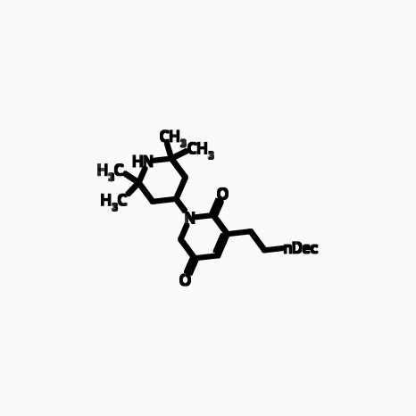 CCCCCCCCCCCCC1=CC(=O)CN(C2CC(C)(C)NC(C)(C)C2)C1=O